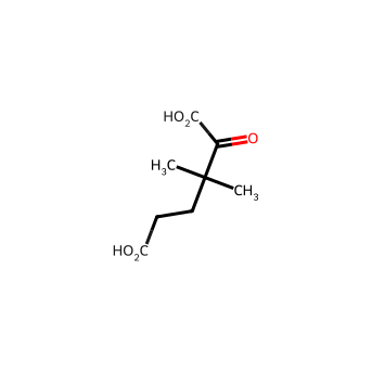 CC(C)(CCC(=O)O)C(=O)C(=O)O